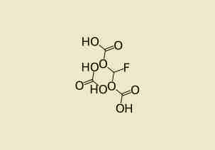 O=C(O)O.O=C(O)OC(F)OC(=O)O